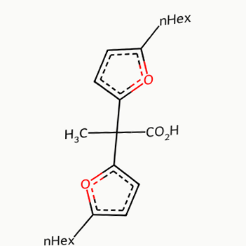 CCCCCCc1ccc(C(C)(C(=O)O)c2ccc(CCCCCC)o2)o1